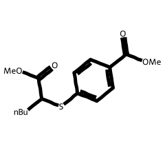 CCCCC(Sc1ccc(C(=O)OC)cc1)C(=O)OC